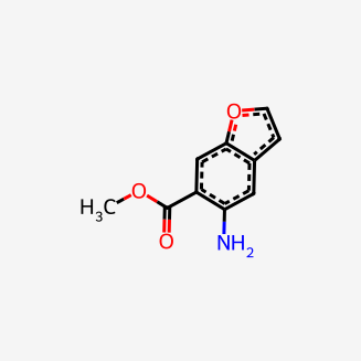 COC(=O)c1cc2occc2cc1N